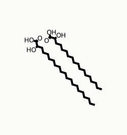 CCCCCCCCCCCCCCCCC(O)C(=O)O.CCCCCCCCCCCCCCCCCCCC(O)C(=O)O